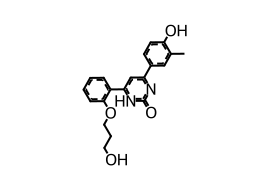 Cc1cc(-c2cc(-c3ccccc3OCCCO)[nH]c(=O)n2)ccc1O